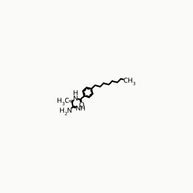 CCCCCCCCc1ccc(C(=O)N[C@@H](C)C(=N)N)cc1